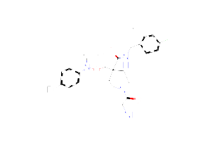 CCc1ccc(N(C=O)OCC2(C(=O)NCc3ccc(Cl)cc3C)CCN(C(=O)CN)CC2)cc1